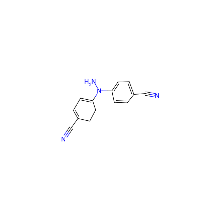 N#CC1=CC=C(N(N)c2ccc(C#N)cc2)CC1